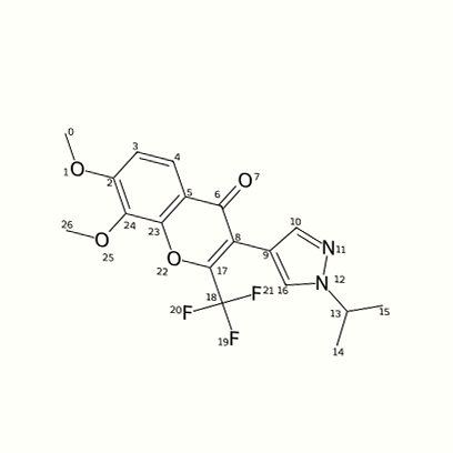 COc1ccc2c(=O)c(-c3cnn(C(C)C)c3)c(C(F)(F)F)oc2c1OC